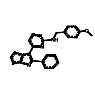 COc1ccc(CNc2nccc(-c3c(-c4ccccc4)nc4sccn34)n2)cc1